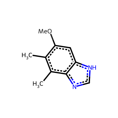 COc1cc2[nH]cnc2c(C)c1C